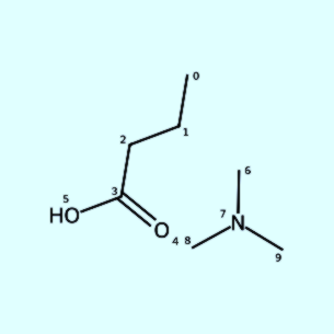 CCCC(=O)O.CN(C)C